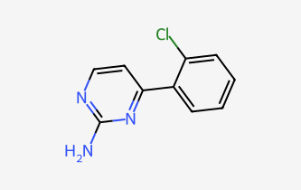 Nc1nccc(-c2ccccc2Cl)n1